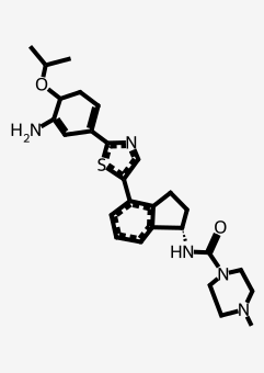 CC(C)OC1CC=C(c2ncc(-c3cccc4c3CC[C@@H]4NC(=O)N3CCN(C)CC3)s2)C=C1N